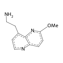 COc1ccc2nccc(CCN)c2n1